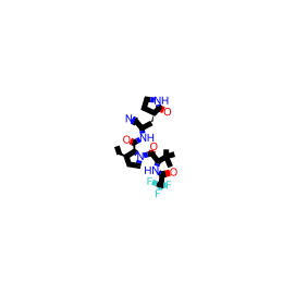 CC[C@@H]1CCN(C(=O)C(NC(=O)C(F)(F)F)C(C)(C)C)[C@@H]1C(=O)NC(C#N)C[C@@H]1CCNC1=O